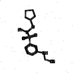 CC(C)N(OC1CCCC1)S(=O)(=O)c1cccc(NCC#N)c1